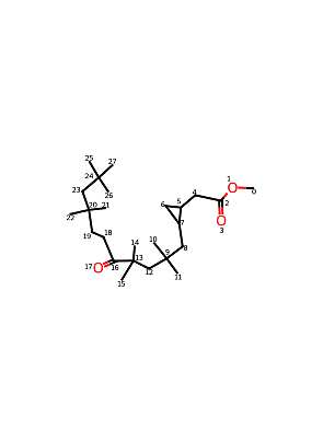 COC(=O)CC1CC1CC(C)(C)CC(C)(C)C(=O)CCC(C)(C)CC(C)(C)C